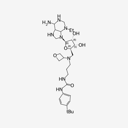 CCN1CNC(N)C2NCN([C@@H]3O[C@H](CN(CCCNC(=O)Nc4ccc(C(C)(C)C)cc4)C4COC4)[C@@H](O)[C@H]3O)C21